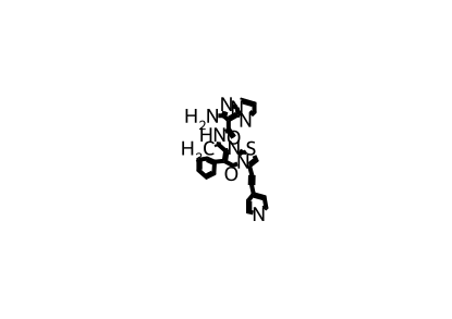 C[C@@H](NC(=O)c1c(N)nn2cccnc12)c1nc2scc(C#Cc3ccncc3)n2c(=O)c1-c1ccccc1